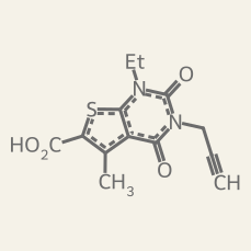 C#CCn1c(=O)c2c(C)c(C(=O)O)sc2n(CC)c1=O